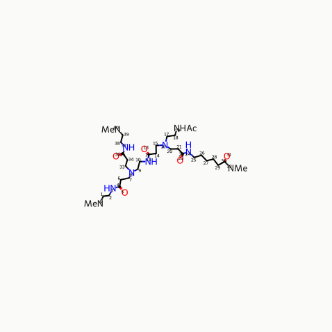 CNCCNC(=O)CCN(CCNC(=O)CCN(CCNC(C)=O)CCC(=O)NCCCCCC(=O)NC)CCC(=O)NCCNC